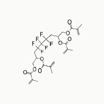 C=C(C)C(=O)OCC(CC(F)(F)C(F)(F)C(F)(F)CC(COC(=O)C(=C)C)OC(=O)C(=C)C)OC(=O)C(=C)C